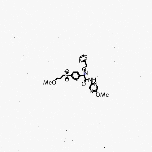 COCCCS(=O)(=O)c1ccc(/C(=N\OCc2nccs2)C(=O)Nc2cnc(OC)cn2)cc1